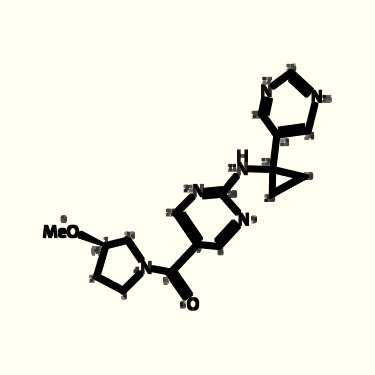 CO[C@@H]1CCN(C(=O)c2cnc(NC3(c4cncnc4)CC3)nc2)C1